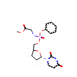 CC(C)OC(=O)[C@H](C)NP(=O)(OC[C@@]1(C)O[C@@H](n2ccc(=O)[nH]c2=O)[C@H](O)[C@@H]1O)Oc1ccccc1